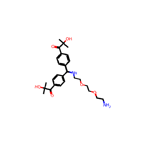 CC(C)(O)C(=O)c1ccc(C(NCCOCCOCCN)c2ccc(C(=O)C(C)(C)O)cc2)cc1